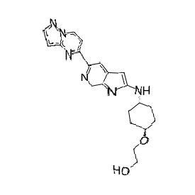 OCCO[C@H]1CC[C@H](NC2=CC3=CC(c4ccn5nccc5n4)=NCC3=N2)CC1